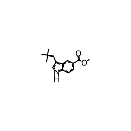 COC(=O)c1ccc2[nH]cc(CC(C)(C)C)c2c1